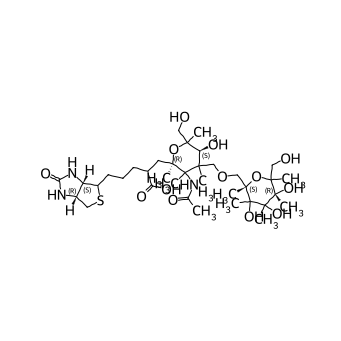 CC(=O)NC1(C)C(C)(COC[C@]2(C)OC(C)(CO)[C@](C)(O)C(C)(O)C2(C)O)[C@H](O)C(C)(CO)O[C@]1(C)CC(CCCC1SC[C@@H]2NC(=O)N[C@H]12)C(=O)O